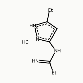 CCC(=N)Nc1cc(CC)[nH]n1.Cl